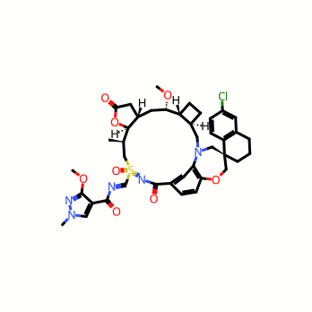 COc1nn(C)cc1C(=O)/N=C/S1(=O)=NC(=O)c2ccc3c(c2)N(C[C@@H]2CC[C@H]2[C@@H](OC)C[C@H]2CC(=O)O[C@@H]2[C@H](C)C1)C[C@@]1(CCCc2cc(Cl)ccc21)CO3